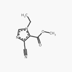 CCn1cnc(C#N)c1C(=O)OC